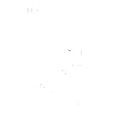 C/C=C/C[C@@H](C)C(O)[C@@H](C(N)=O)N(C)C(=O)CC(C)C